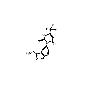 CCC(=O)c1cc(-n2c(=O)cc(C(F)(F)F)[nH]c2=O)ccc1Cl